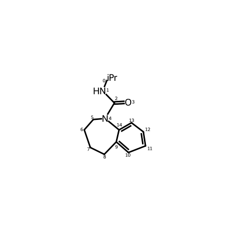 CC(C)NC(=O)N1CCCCc2ccccc21